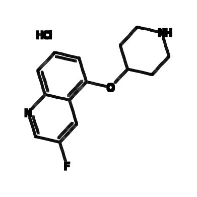 Cl.Fc1cnc2cccc(OC3CCNCC3)c2c1